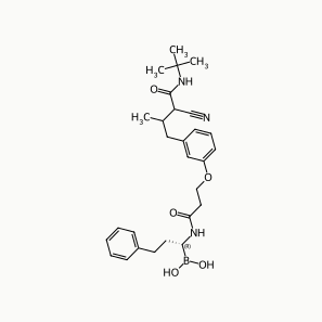 CC(Cc1cccc(OCCC(=O)N[C@@H](CCc2ccccc2)B(O)O)c1)C(C#N)C(=O)NC(C)(C)C